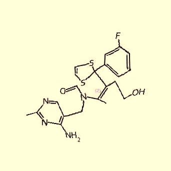 C/C(=C(\CCO)C1(c2cccc(F)c2)SC=CS1)N(C=O)Cc1cnc(C)nc1N